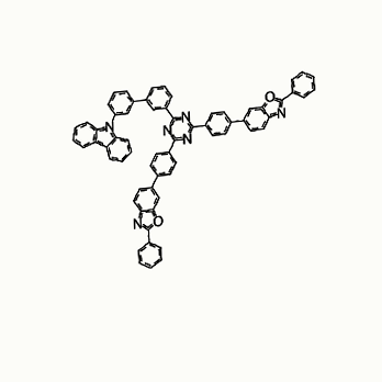 c1ccc(-c2nc3ccc(-c4ccc(-c5nc(-c6ccc(-c7ccc8nc(-c9ccccc9)oc8c7)cc6)nc(-c6cccc(-c7cccc(-n8c9ccccc9c9ccccc98)c7)c6)n5)cc4)cc3o2)cc1